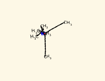 CCCCCCCCC(=C=[N+]=[N-])C(CCCC)=C(c1ccc(C)cc1)c1cccc(CCCC)c1.CCCCCCCCCCCCCCCCCCCCCCCCCCCCC[CH2][Ni][CH2]CCCCCCCCCCCCCCCCCCCCCCCCCCCCC